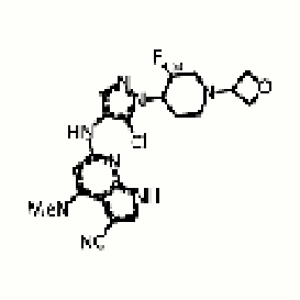 CNc1cc(Nc2cnn(C3CCN(C4COC4)C[C@@H]3F)c2Cl)nc2[nH]cc(C#N)c12